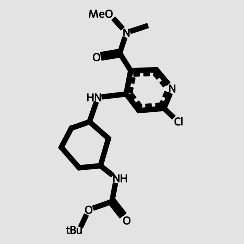 CON(C)C(=O)c1cnc(Cl)cc1NC1CCCC(NC(=O)OC(C)(C)C)C1